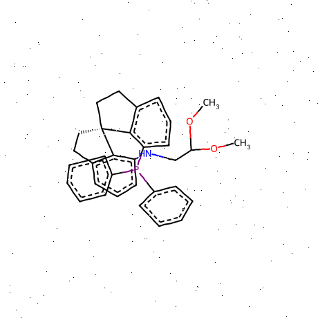 COC(CNc1cccc2c1[C@@]1(CC2)CCc2cccc(P(c3ccccc3)c3ccccc3)c21)OC